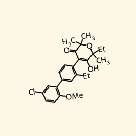 CCc1cc(-c2cc(Cl)ccc2OC)ccc1C1=C(O)C(C)(CC)OC(C)(C)C1=O